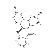 N#Cc1ccc(-n2c(C3CCC(C(F)(F)F)CC3)nc3cccnc3c2=O)cc1